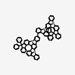 c1ccc(C2(c3ccccc3)c3ccccc3-c3c2ccc2c3c3c4c5cccc6c7ccccc7n(c4cc4c7ccc(-c8cccc9c8c8cccc%10c%11c%12c%13c%14c(ccc%13n%13c%15ccccc%15c(cc%11n9c8%10)c%12%13)-c8ccccc8C%14(c8ccccc8)c8ccccc8)cc7n2c43)c65)cc1